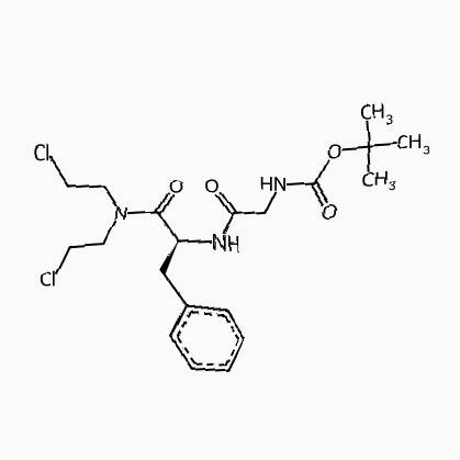 CC(C)(C)OC(=O)NCC(=O)N[C@@H](Cc1ccccc1)C(=O)N(CCCl)CCCl